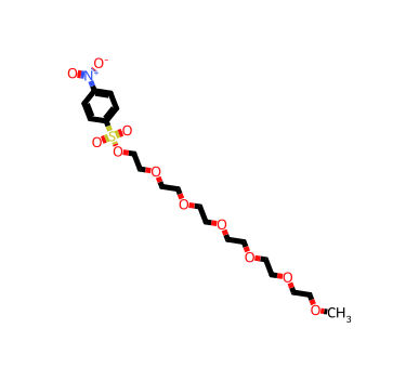 COCCOCCOCCOCCOCCOCCOS(=O)(=O)c1ccc([N+](=O)[O-])cc1